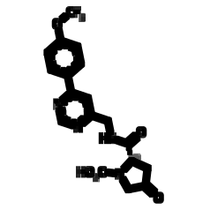 O=C1C[C@@H](C(=O)NCc2cc(-c3ccc(OC(F)(F)F)cc3)ncn2)N(C(=O)O)C1